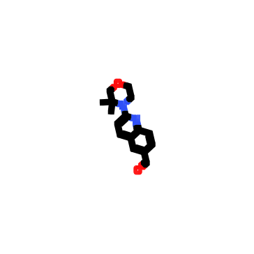 CC1(C)COCCN1c1ccc2cc(C=O)ccc2n1